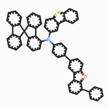 c1ccc(-c2cccc3c2oc2ccc(-c4ccc(N(c5ccc6sc7ccccc7c6c5)c5cccc6c5-c5ccccc5C65c6ccccc6-c6ccccc65)cc4)cc23)cc1